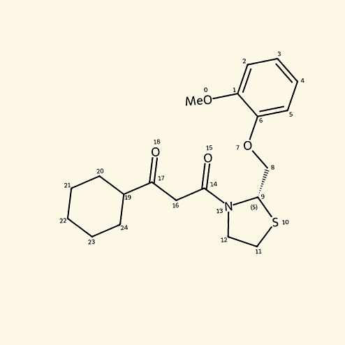 COc1ccccc1OC[C@@H]1SCCN1C(=O)CC(=O)C1CCCCC1